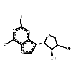 O[C@@H]1[C@H](O)CO[C@H]1n1cnc2c(Cl)nc(Cl)nc21